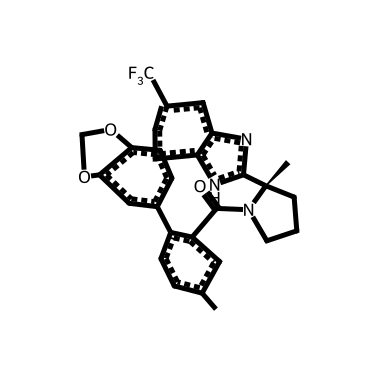 Cc1ccc(-c2ccc3c(c2)OCO3)c(C(=O)N2CCC[C@@]2(C)c2nc3cc(C(F)(F)F)ccc3[nH]2)c1